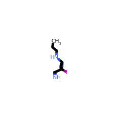 CCCN/C=C(/I)C=N